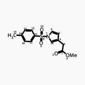 COC(=O)Cc1ccn(S(=O)(=O)c2ccc(C)cc2)c1